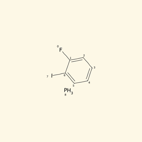 Fc1ccccc1I.P